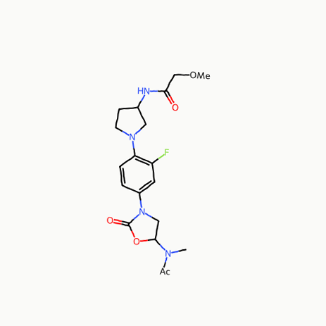 COCC(=O)NC1CCN(c2ccc(N3CC(N(C)C(C)=O)OC3=O)cc2F)C1